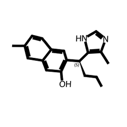 CCC[C@@H](c1cc2ccc(C)cc2cc1O)c1[nH]cnc1C